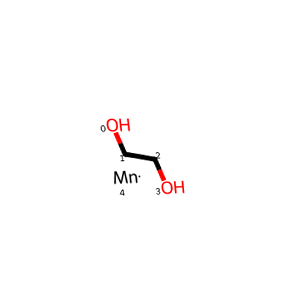 OCCO.[Mn]